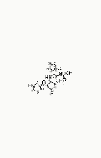 CC1=C(Nc2ccc(F)cc2O[C@H]2CCCNC2)c2ccsc2CN1C(=O)O